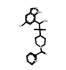 CC(C)(C1CCN(C(=O)c2ccccn2)CC1)C(O)c1cc(Cl)cc2cn[nH]c12